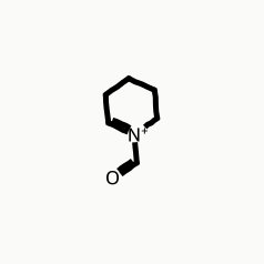 O=C[N+]1=CCCCC1